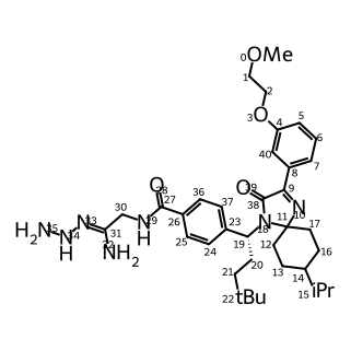 COCCOc1cccc(C2=NC3(CCC(C(C)C)CC3)N([C@H](CCC(C)(C)C)c3ccc(C(=O)NC/C(N)=N/NN)cc3)C2=O)c1